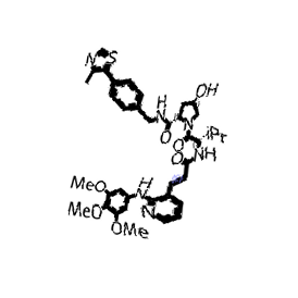 COc1cc(Nc2ncccc2/C=C/C(=O)N[C@H](C(=O)N2C[C@@H](O)C[C@H]2C(=O)NCc2ccc(-c3scnc3C)cc2)C(C)C)cc(OC)c1OC